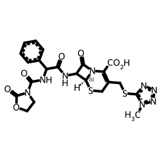 Cn1nnnc1SCC1=C(C(=O)O)N2C(=O)C(NC(=O)C(NC(=O)N3CCOC3=O)c3ccccc3)[C@@H]2SC1